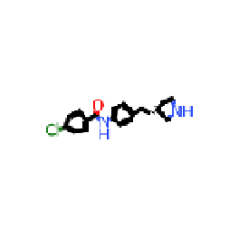 O=C(Nc1ccc(CC[C@@H]2CCNC2)cc1)c1ccc(Cl)cc1